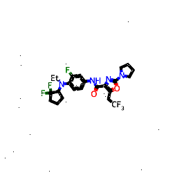 CCN(c1ccc(NC(=O)c2nc(N3CCCC3)oc2CC(F)(F)F)cc1F)C1CCCC1(F)F